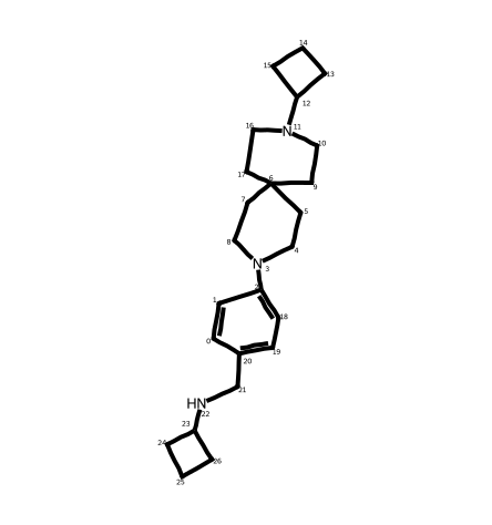 c1cc(N2CCC3(CC2)CCN(C2CCC2)CC3)ccc1CNC1CCC1